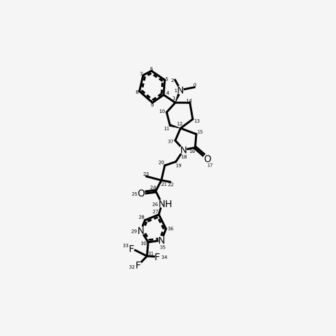 CN(C)[C@]1(c2ccccc2)CC[C@@]2(CC1)CC(=O)N(CCC(C)(C)C(=O)Nc1cnc(C(F)(F)F)nc1)C2